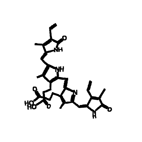 C=CC1=C(C)C(=Cc2[nH]c(C=C3N=C(C=C4NC(=O)C(C)=C4C=C)C(C)=C3CCC(=O)O)c(CCC(=O)O)c2C)NC1=O